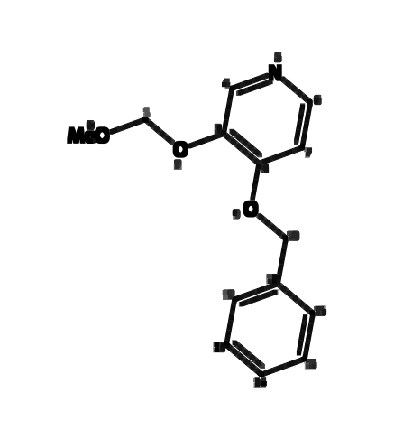 COCOc1cnccc1OCc1ccccc1